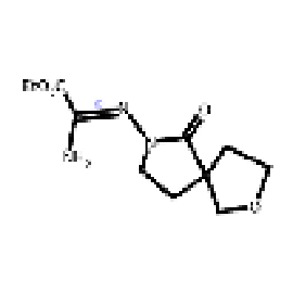 CCOC(=O)/C(N)=N/N1CCC2(CCOC2)C1=O